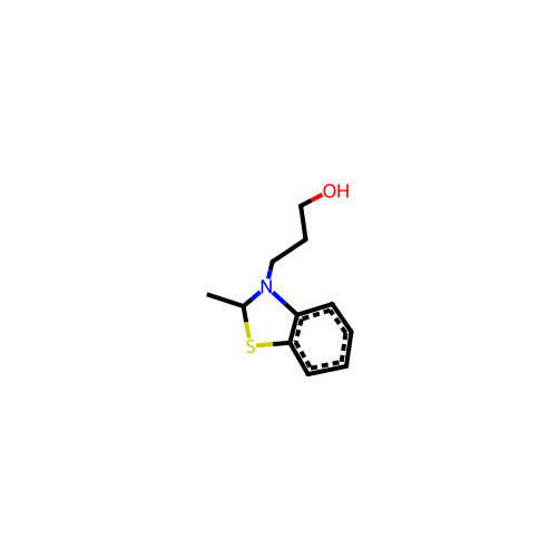 CC1Sc2ccccc2N1CCCO